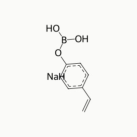 C=Cc1ccc(OB(O)O)cc1.[NaH]